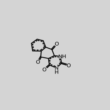 O=C1c2ccccc2C(=O)c2c1[nH]c(=O)[nH]c2=O